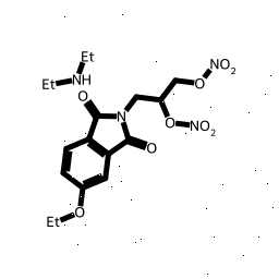 CCNCC.CCOc1ccc2c(c1)C(=O)N(CC(CO[N+](=O)[O-])O[N+](=O)[O-])C2=O